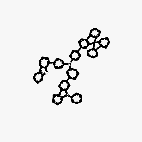 c1ccc(-n2c3ccccc3c3ccc(-c4cccc(N(c5ccc(-c6ccc7c(c6)C6(c8ccccc8-c8ccccc86)c6ccccc6-7)cc5)c5ccc(-c6cccc7c6oc6ccccc67)cc5)c4)cc32)cc1